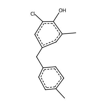 Cc1ccc(Cc2cc(C)c(O)c(Cl)c2)cc1